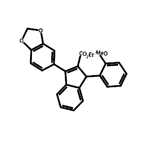 CCOC(=O)C1=C(c2ccc3c(c2)OCO3)c2ccccc2C1c1ccccc1OC